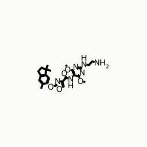 COc1nc(NCCN)nc(OC)c1NC(=O)c1coc(Oc2cc3c(cc2C)CCC3(C)C)n1